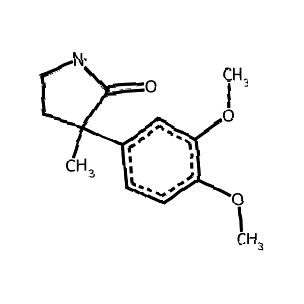 COc1ccc(C2(C)CC[N]C2=O)cc1OC